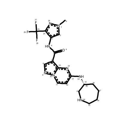 Cn1cc(NC(=O)c2cnn3ccc(N[C@@H]4CCCCNC4)nc23)c(C(F)(F)F)n1